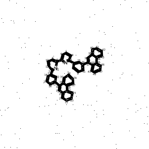 c1cc(-c2cccc(-c3cccc(-c4cccc(-c5cc6ccccc6c6ccccc56)c4)n3)n2)cc(-c2cc3ccccc3c3ccccc23)c1